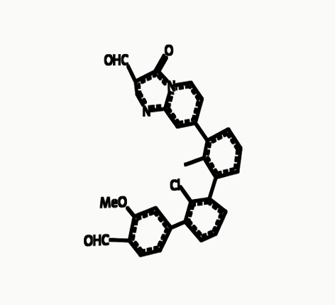 COc1cc(-c2cccc(-c3cccc(-c4ccn5c(=O)c(C=O)cnc5c4)c3C)c2Cl)ccc1C=O